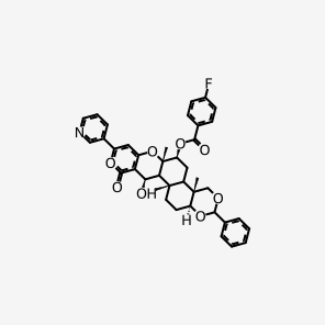 C[C@]12CC[C@@H]3OC(c4ccccc4)OC[C@@]3(C)C1C[C@H](OC(=O)c1ccc(F)cc1)[C@@]1(C)Oc3cc(-c4cccnc4)oc(=O)c3[C@H](O)C21